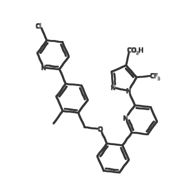 Cc1cc(-c2ccc(Cl)cn2)ccc1COc1ccccc1-c1cccc(-n2ncc(C(=O)O)c2C(F)(F)F)n1